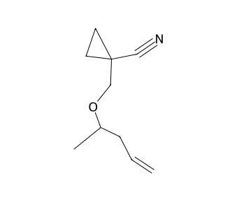 C=CCC(C)OCC1(C#N)CC1